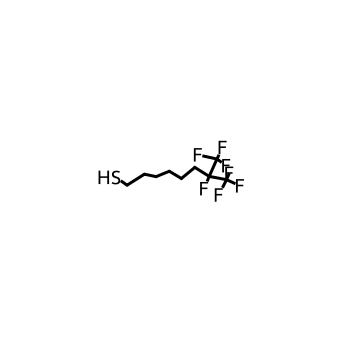 FC(F)(F)C(F)(CCCCCCS)C(F)(F)F